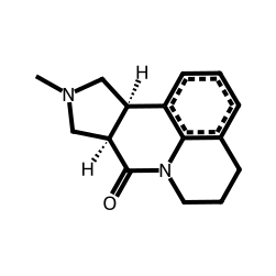 CN1C[C@@H]2C(=O)N3CCCc4cccc(c43)[C@@H]2C1